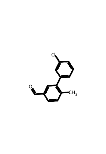 Cc1ccc(C=O)cc1-c1cccc(Cl)c1